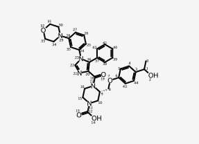 CC(O)c1ccc(OC[C@@H]2CN(C(=O)O)CCN2C(=O)c2ncn(-c3cccc(N4CCOCC4)c3)c2-c2ccccc2)cc1